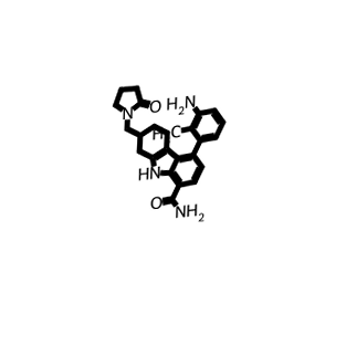 Cc1c(N)cccc1-c1ccc(C(N)=O)c2[nH]c3c(c12)CCC(CN1CCCC1=O)C3